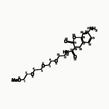 COCCOCCOCCOCCNC(=O)c1cc2ccc(N)cc2oc1=O